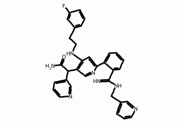 N=C(NCc1cccnc1)c1ccccc1-c1cc(NCCc2cccc(F)c2)c(C(C(N)=O)c2cccnc2)cn1